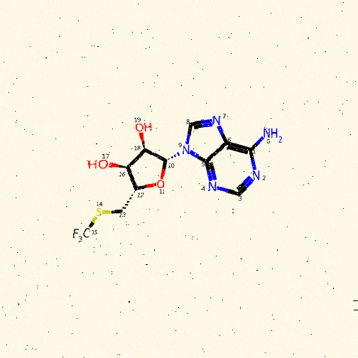 Nc1ncnc2c1ncn2[C@@H]1O[C@H](CSC(F)(F)F)[C@@H](O)[C@H]1O